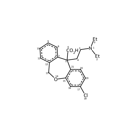 CCN(CC)CCC1(C(=O)O)c2ccccc2COc2cc(Cl)ccc21